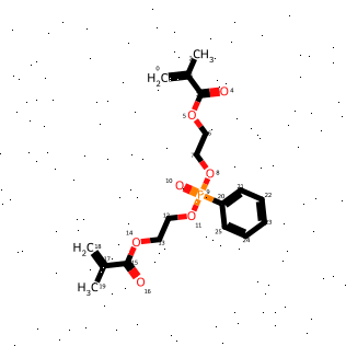 C=C(C)C(=O)OCCOP(=O)(OCCOC(=O)C(=C)C)c1ccccc1